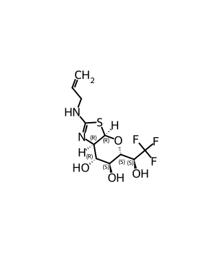 C=CCNC1=N[C@@H]2[C@@H](O)[C@H](O)[C@@H]([C@H](O)C(F)(F)F)O[C@@H]2S1